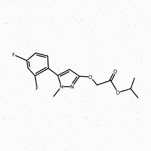 CC(C)OC(=O)COc1cc(-c2ccc(F)cc2F)n(C)n1